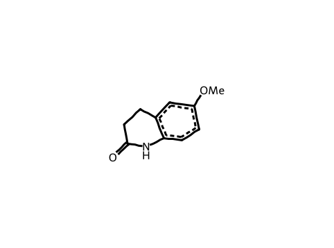 [CH2-][OH+]c1ccc2c(c1)CCC(=O)N2